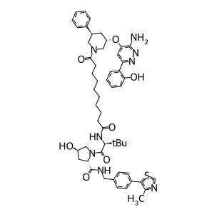 Cc1ncsc1-c1ccc(CNC(=O)[C@@H]2C[C@@H](O)CN2C(=O)[C@@H](NC(=O)CCCCCCCCC(=O)N2C[C@@H](Oc3cc(-c4ccccc4O)nnc3N)C[C@H](c3ccccc3)C2)C(C)(C)C)cc1